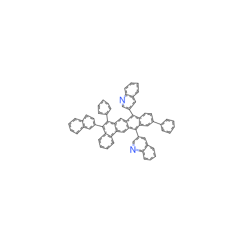 c1ccc(-c2ccc3c(-c4cnc5ccccc5c4)c4cc5c(-c6ccccc6)c(-c6ccc7ccccc7c6)c6ccccc6c5cc4c(-c4cnc5ccccc5c4)c3c2)cc1